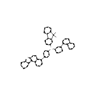 CC1(C)c2ccccc2-c2ccc(N(c3ccc(-c4cccc5c4ccc4oc6ccccc6c45)cc3)c3cccc(-c4cccc5ccccc45)c3)cc21